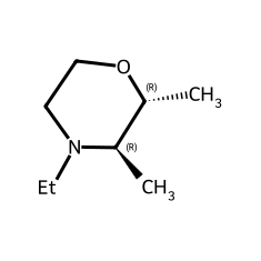 CCN1CCO[C@H](C)[C@H]1C